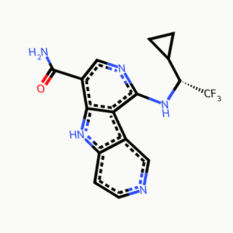 NC(=O)c1cnc(N[C@H](C2CC2)C(F)(F)F)c2c1[nH]c1ccncc12